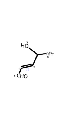 CCCC(O)/C=C/C=O